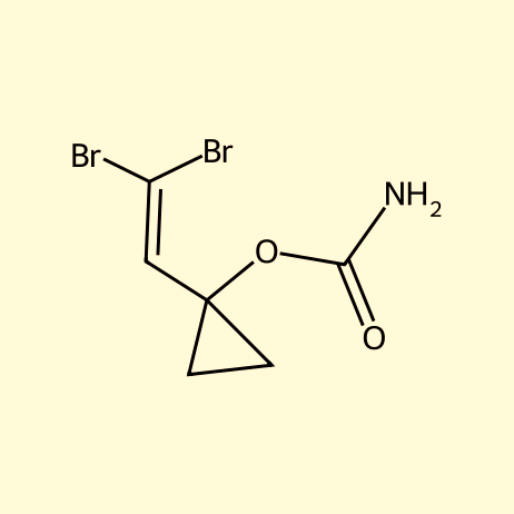 NC(=O)OC1(C=C(Br)Br)CC1